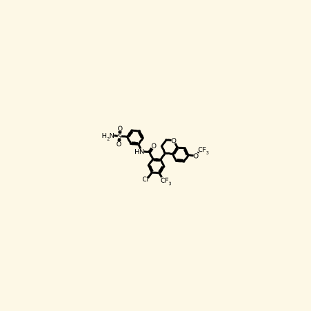 NS(=O)(=O)c1cccc(NC(=O)c2cc(Cl)c(C(F)(F)F)cc2C2CCOc3cc(OC(F)(F)F)ccc32)c1